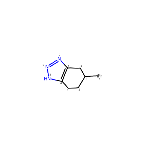 CC(C)C1CCc2[nH]nnc2C1